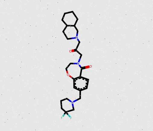 O=C(CN1CCC2CCCCC2C1)CN1CCOc2cc(CN3CCCC(F)(F)C3)ccc2C1=O